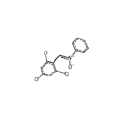 [O-][N+](=Cc1c(Cl)cc(Cl)cc1Cl)c1ccccc1